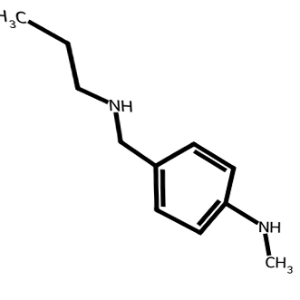 CCCNCc1ccc(NC)cc1